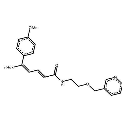 CCCCCCC(=CC=CC(=O)NCCOCc1cccnc1)c1ccc(OC)cc1